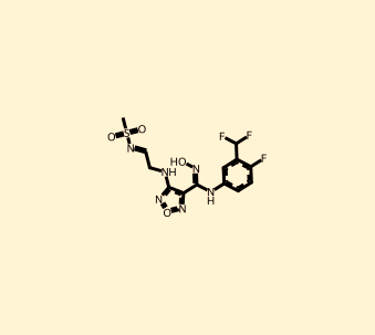 CS(=O)(=O)N=CCNc1nonc1C(=NO)Nc1ccc(F)c(C(F)F)c1